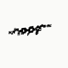 CC(=O)NCC1CN(c2ccc(-c3ccc(N/C=N\N)nc3)c(F)c2)C(=O)O1